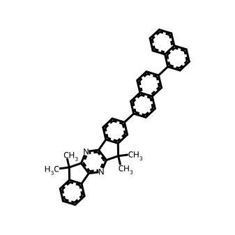 CC1(C)c2ccccc2-c2nc3c(nc21)-c1ccc(-c2ccc4cc(-c5cccc6ccccc56)ccc4c2)cc1C3(C)C